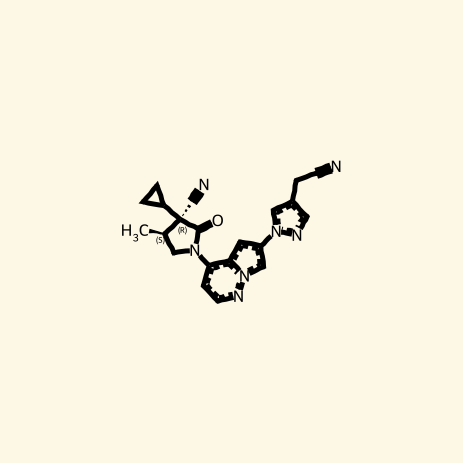 C[C@@H]1CN(c2ccnn3cc(-n4cc(CC#N)cn4)cc23)C(=O)[C@]1(C#N)C1CC1